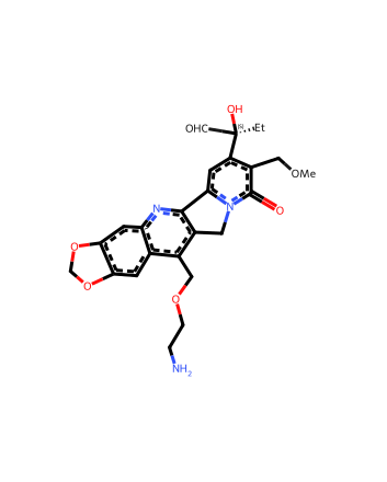 CC[C@@](O)(C=O)c1cc2n(c(=O)c1COC)Cc1c-2nc2cc3c(cc2c1COCCN)OCO3